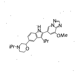 COc1cc(-c2[nH]c3ccc(C4CN(C(C)C)CCO4)cc3c2C(C)C)cn2ncnc12